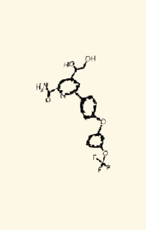 NC(=O)c1cc(C(O)CO)cc(-c2ccc(Oc3cccc(OC(F)(F)F)c3)cc2)n1